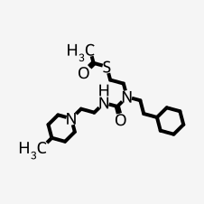 CC(=O)SCCN(CCC1CCCCC1)C(=O)NCCN1CCC(C)CC1